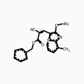 CCCCOc1nc2c(C)cccn2c1/C=C(/C#N)C(=O)OCc1ccccc1